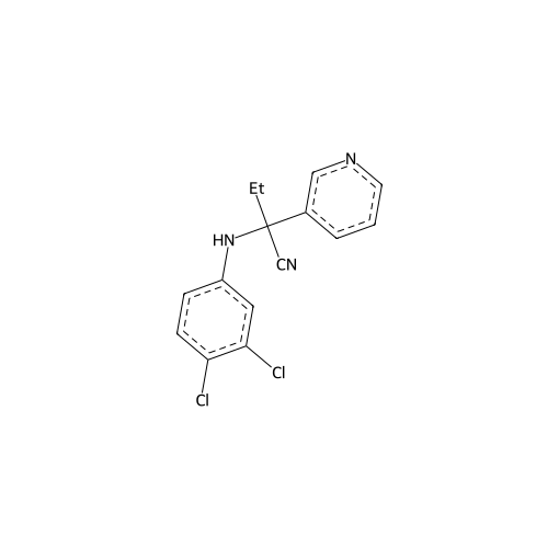 CCC(C#N)(Nc1ccc(Cl)c(Cl)c1)c1cccnc1